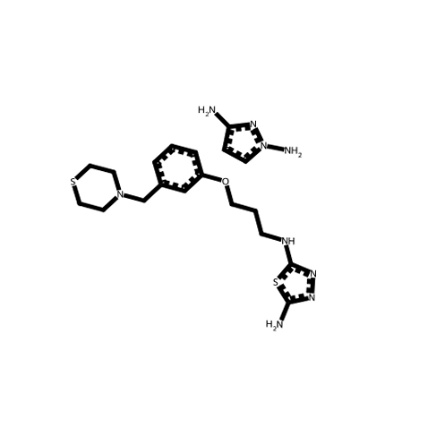 Nc1ccn(N)n1.Nc1nnc(NCCCOc2cccc(CN3CCSCC3)c2)s1